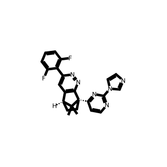 CC1(C)[C@H]2CC[C@]1(c1ccnc(-n3ccnc3)n1)c1nnc(-c3c(F)cccc3F)cc12